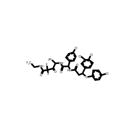 CC(C)C(NC(=O)C(NC(=O)CC(Oc1ccc(Cl)cc1)c1ccc(Cl)c(Cl)c1)c1ccc(Cl)cc1)C(=O)C(F)(F)C(=O)NCC(F)(F)F